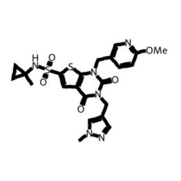 COc1ccc(Cn2c(=O)n(Cc3cnn(C)c3)c(=O)c3cc(S(=O)(=O)NC4(C)CC4)sc32)cn1